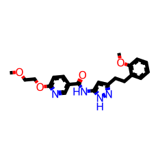 COCCOc1ccc(C(=O)Nc2cc(CCc3ccccc3OC)n[nH]2)cn1